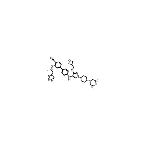 C[C@@H]1CN([C@H]2CC[C@H](n3cc(Nc4ncc(-c5ccc(C#N)c(O[C@@H](C)Cn6cnnn6)c5)cn4)c(OCC4COC4)n3)CC2)C[C@H](C)O1